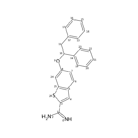 N=C(N)c1cc2ccc(OC(Cc3ccccc3)c3ccccc3)cc2s1